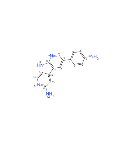 Nc1ccc(-c2cnc3[nH]c4cnc(N)cc4c3c2)cc1